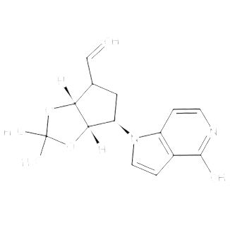 C=CC1C[C@@H](n2ccc3c(C)nccc32)[C@@H]2OC(C)(C)O[C@H]12